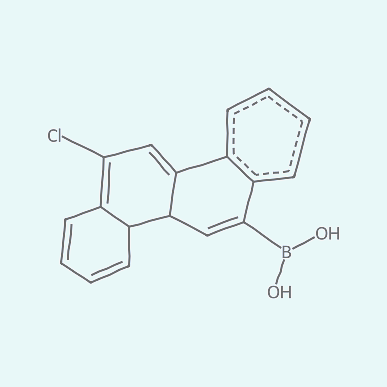 OB(O)C1=CC2C(=CC(Cl)=C3C=CC=CC32)c2ccccc21